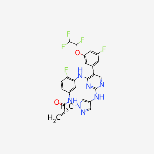 C=CC(=O)Nc1ccc(F)c(Nc2nc(Nc3cnn(C)c3)ncc2-c2cc(F)cc(OC(F)C(F)F)c2)c1